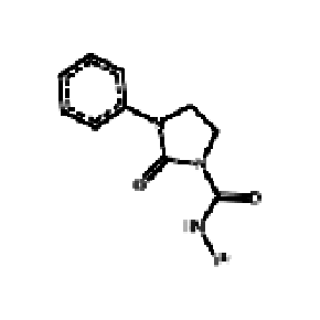 CC(C)NC(=O)N1CCN(c2ccccc2)C1=O